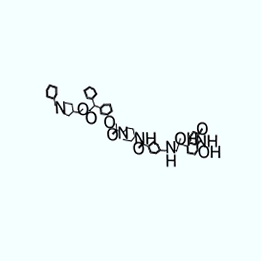 O=C(NC1CCN(C(=O)COc2cccc(C(C(=O)OCC3CCN(Cc4ccccc4)CC3)c3ccccc3)c2)CC1)c1ccc(CNCC(O)c2ccc(O)c3[nH]c(=O)ccc23)cc1